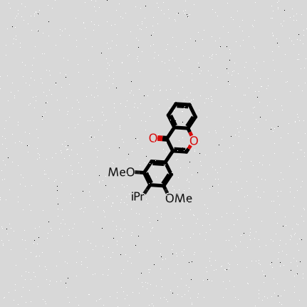 COc1cc(-c2coc3ccccc3c2=O)cc(OC)c1C(C)C